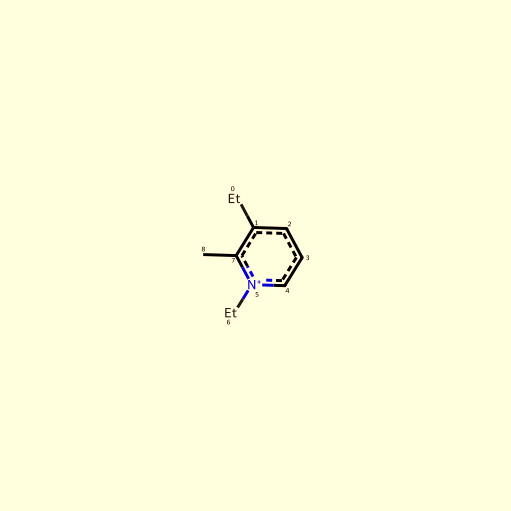 CCc1ccc[n+](CC)c1C